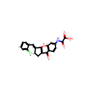 O=C(O)C(=O)Nc1ccc2c(=O)c3c(oc2c1)/C(=C/c1ccccc1Cl)CC3